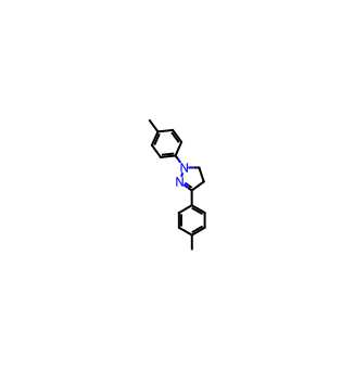 Cc1ccc(C2=NN(c3ccc(C)cc3)CC2)cc1